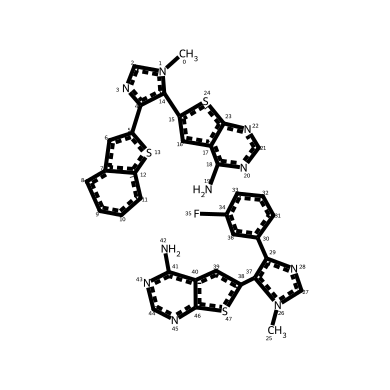 Cn1cnc(-c2cc3ccccc3s2)c1-c1cc2c(N)ncnc2s1.Cn1cnc(-c2cccc(F)c2)c1-c1cc2c(N)ncnc2s1